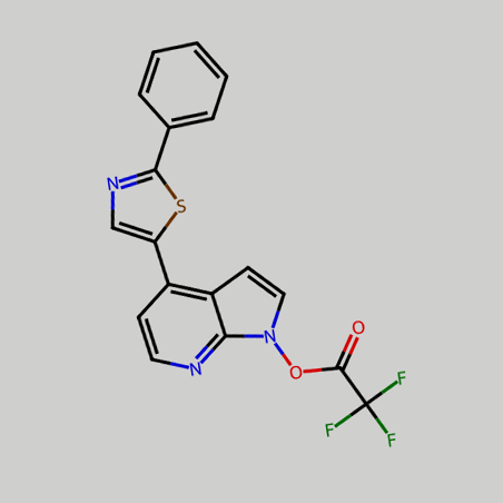 O=C(On1ccc2c(-c3cnc(-c4ccccc4)s3)ccnc21)C(F)(F)F